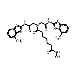 Cc1cccc2sc(NC(=O)CN(CC(=O)Nc3nc4c(C)cccc4s3)C(=O)CCCCCC(=O)NO)nc12